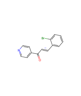 O=C(/C=C/c1ccccc1Br)c1ccncc1